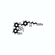 CSCCCNCc1ccc(COc2cccc(-c3cccc(O)c3C)c2C)cc1